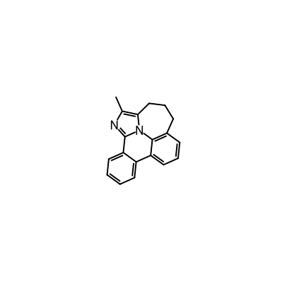 Cc1nc2c3ccccc3c3cccc4c3n2c1CCC4